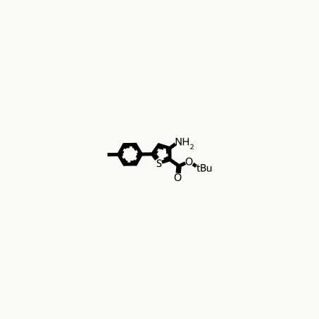 Cc1ccc(-c2cc(N)c(C(=O)OC(C)(C)C)s2)cc1